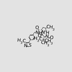 Cc1ncsc1-c1ccc(CNC(=O)[C@@H]2CC(C)CN2C(=O)[C@@H](NC=O)C(C)(C)C)cc1